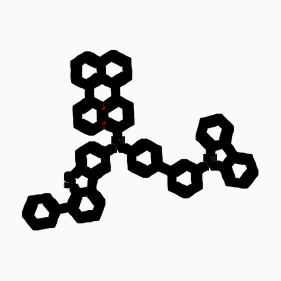 c1ccc(-c2cccc3c2sc2ccc(N(c4ccc(-c5cccc(-n6c7ccccc7c7ccccc76)c5)cc4)c4ccc(-c5cccc6cccc(-c7ccccc7)c56)cc4)cc23)cc1